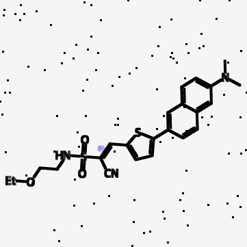 CCOCCNS(=O)(=O)/C(C#N)=C/c1ccc(-c2ccc3cc(N(C)C)ccc3c2)s1